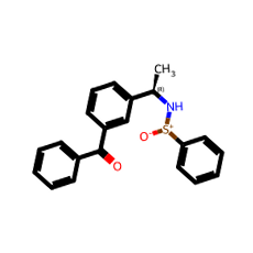 C[C@@H](N[S+]([O-])c1ccccc1)c1cccc(C(=O)c2ccccc2)c1